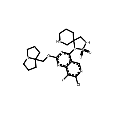 O=S1(=O)NCC2(CCCNC2)N1c1nc(OCC23CCCN2CCC3)nc2c(F)c(Cl)ncc12